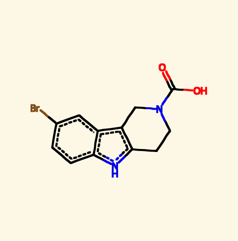 O=C(O)N1CCc2[nH]c3ccc(Br)cc3c2C1